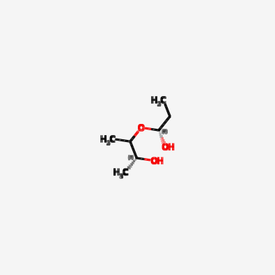 CC[C@H](O)OC(C)[C@@H](C)O